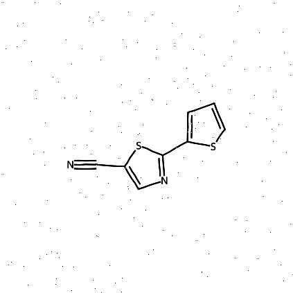 N#Cc1cnc(-c2cccs2)s1